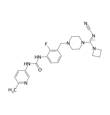 Cc1ccc(NC(=O)Nc2cccc(CN3CCN(/C(=N\C#N)N4CCC4)CC3)c2F)cn1